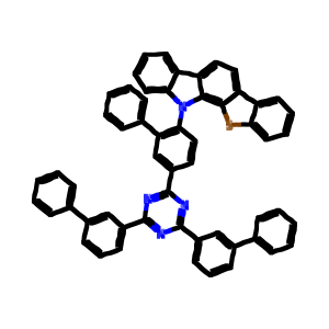 c1ccc(-c2cccc(-c3nc(-c4cccc(-c5ccccc5)c4)nc(-c4ccc(-n5c6ccccc6c6ccc7c8ccccc8sc7c65)c(-c5ccccc5)c4)n3)c2)cc1